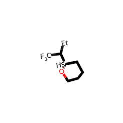 CCC([SiH]1CCCCO1)C(F)(F)F